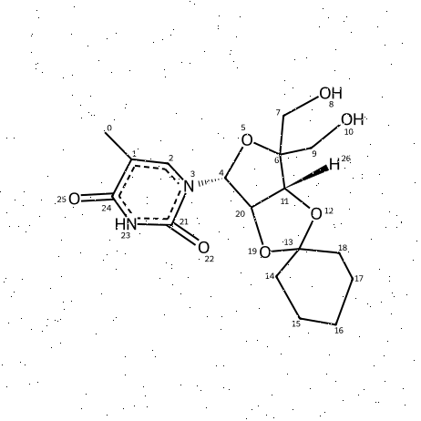 Cc1cn([C@@H]2OC(CO)(CO)[C@@H]3OC4(CCCCC4)OC23)c(=O)[nH]c1=O